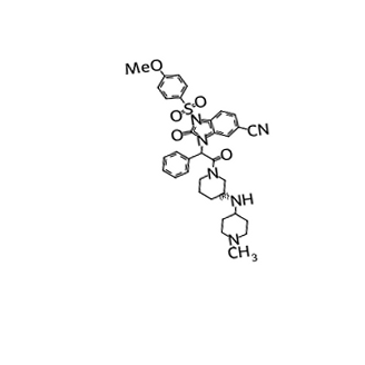 COc1ccc(S(=O)(=O)n2c(=O)n(C(C(=O)N3CCC[C@@H](NC4CCN(C)CC4)C3)c3ccccc3)c3cc(C#N)ccc32)cc1